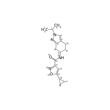 CC(C)n1cc2c(n1)CC(NC(=O)c1cc(C3CC3)on1)CC2